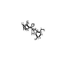 CCc1ccc(C)cc1CNC(=O)c1cnn(C)c1F